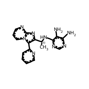 C[C@H](Nc1ncnc(N)c1N)c1nc2ncccn2c1-c1ccccn1